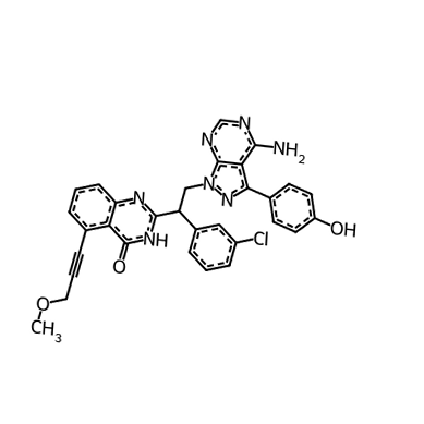 COCC#Cc1cccc2nc(C(Cn3nc(-c4ccc(O)cc4)c4c(N)ncnc43)c3cccc(Cl)c3)[nH]c(=O)c12